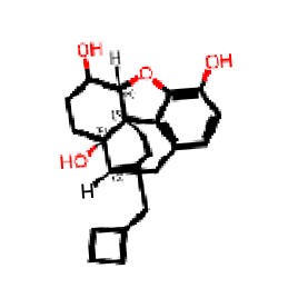 Oc1ccc2c3c1O[C@H]1C(O)CC[C@@]4(O)[C@@H](C2)C(CC2CCC2)CC[C@]314